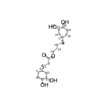 O=C(CSc1ccc(O)c(O)c1)OCCCSc1ccc(O)c(O)c1